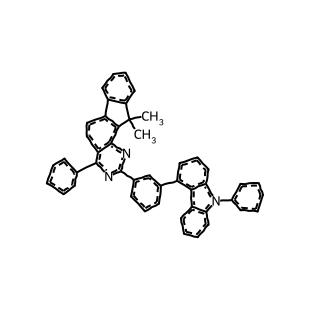 CC1(C)c2ccccc2-c2ccc3c(-c4ccccc4)nc(-c4cccc(-c5cccc6c5c5ccccc5n6-c5ccccc5)c4)nc3c21